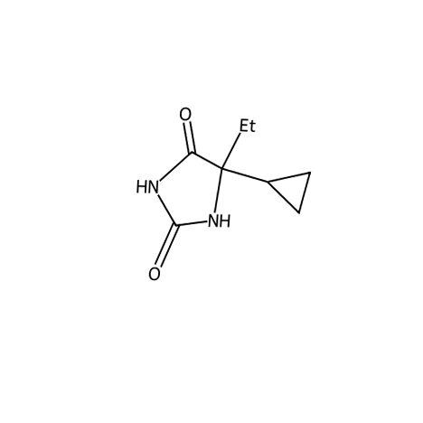 CCC1(C2CC2)NC(=O)NC1=O